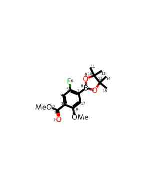 COC(=O)c1cc(F)c(B2OC(C)(C)C(C)(C)O2)cc1OC